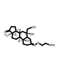 CNCCO/N=C1/CC[C@@]2(C)C(C1)[C@@](O)(CO)C[C@@H]1[C@@H]2CC[C@]2(C)C(=O)CC[C@@H]12